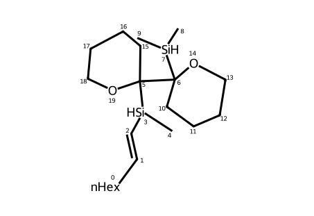 CCCCCCC=C[SiH](C)C1(C2([SiH](C)C)CCCCO2)CCCCO1